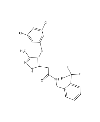 Cc1n[nH]c(CC(=O)NCc2ccccc2C(F)(F)F)c1Oc1cc(Cl)cc(Cl)c1